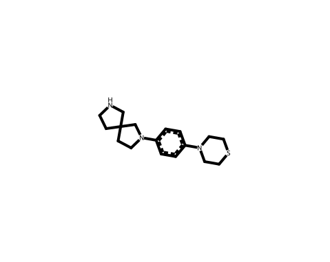 c1cc(N2CCC3(CCNC3)C2)ccc1N1CCSCC1